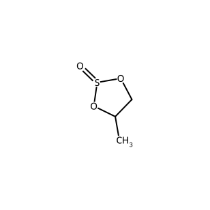 CC1COS(=O)O1